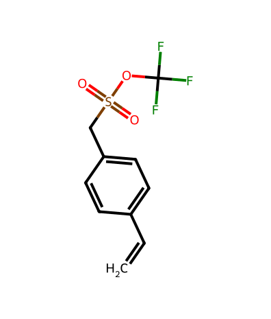 C=Cc1ccc(CS(=O)(=O)OC(F)(F)F)cc1